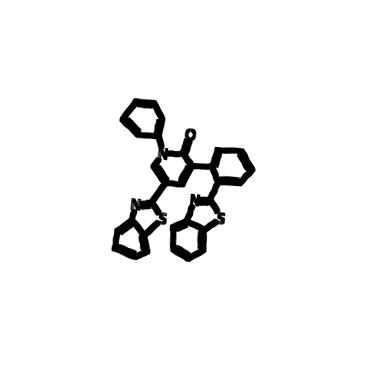 O=c1c(-c2ccccc2-c2nc3ccccc3s2)cc(-c2nc3ccccc3s2)cn1-c1ccccc1